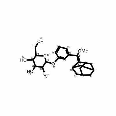 COC(=C1C2CC3CC(C2)CC1C3)c1cccc(OC2OC(CO)C(O)C(O)C2O)c1